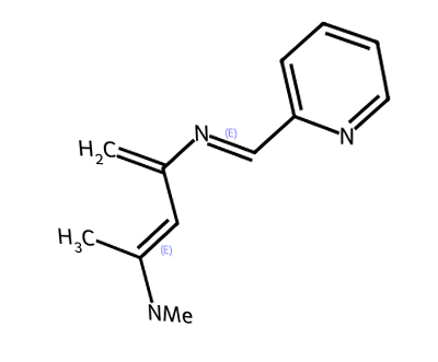 C=C(/C=C(\C)NC)/N=C/c1ccccn1